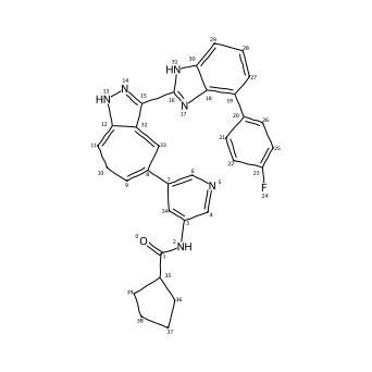 O=C(Nc1cncc(C2=CCC=c3[nH]nc(-c4nc5c(-c6ccc(F)cc6)cccc5[nH]4)c3=C2)c1)C1CCCC1